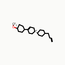 C=CCCC1CCC([C@H]2CC=C(C3CCC(OC(F)(F)F)CC3)CC2)CC1